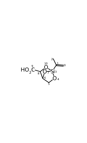 C=C(C)[Si]12OCC(O1)C(C(=O)O)O2